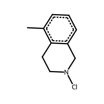 Cc1cccc2c1CCN(Cl)C2